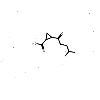 CC(C)CCC(=O)C1CC1C(=O)O